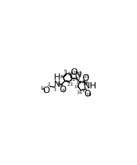 COCCNC(=O)c1ccc2onc(C3CCC(=O)NC3=O)c2c1